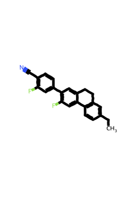 CCc1ccc2c(c1)CCc1cc(-c3ccc(C#N)c(F)c3)c(F)cc1-2